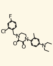 CCN(CC)c1ccc(N2CCN(Cc3ccc(F)cc3Cl)C(=O)C2=O)c(C)c1